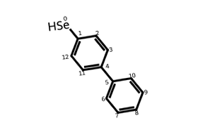 [SeH]c1ccc(-c2ccccc2)cc1